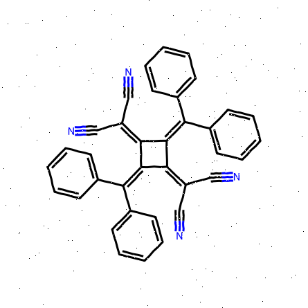 N#CC(C#N)=C1C(=C(c2ccccc2)c2ccccc2)C(=C(C#N)C#N)C1=C(c1ccccc1)c1ccccc1